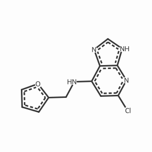 Clc1cc(NCc2ccco2)c2nc[nH]c2n1